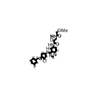 COCC(=O)NCC(O)C(=O)Nc1ccc2ncnc(Nc3ccc(OCc4cccc(F)c4)c(Cl)c3)c2c1